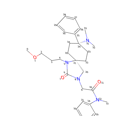 COCCCN1C(=O)N(CC(=O)N(C)c2ccccc2)C[C@]12CC[C@@](c1ccccc1)(N(C)C)CC2